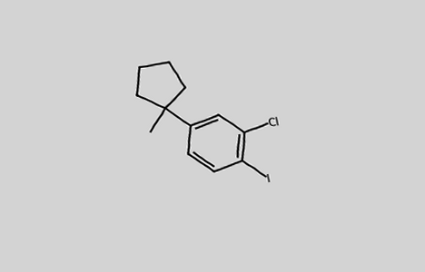 CC1(c2ccc(I)c(Cl)c2)CCCC1